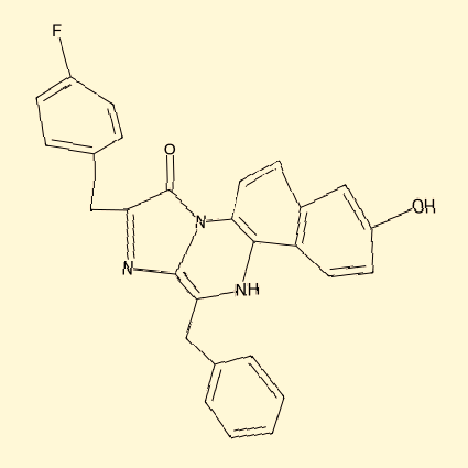 O=c1c(Cc2ccc(F)cc2)nc2c(Cc3ccccc3)[nH]c3c4ccc(O)cc4ccc3n1-2